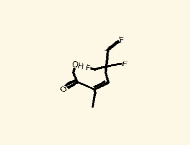 CC(=CC(F)(F)[CH]F)C(=O)O